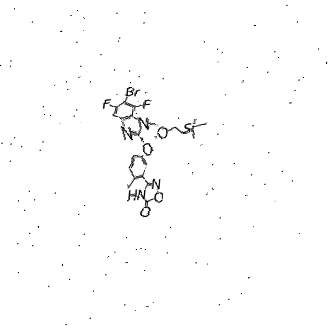 Cc1ccc(Oc2nc3cc(F)c(Br)c(F)c3n2COCC[Si](C)(C)C)cc1-c1noc(=O)[nH]1